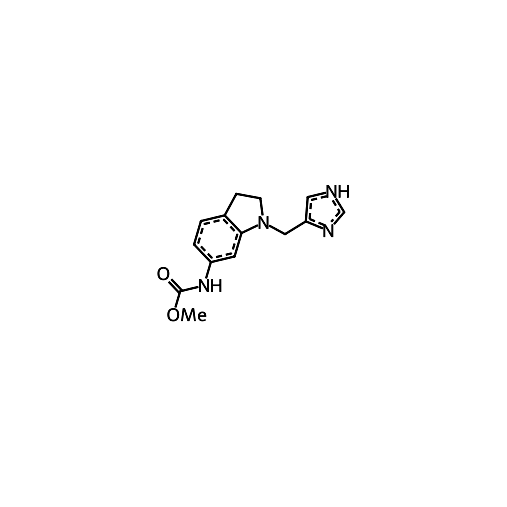 COC(=O)Nc1ccc2c(c1)N(Cc1c[nH]cn1)CC2